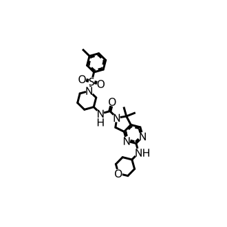 Cc1cccc(S(=O)(=O)N2CCCC(NC(=O)N3Cc4nc(NC5CCOCC5)ncc4C3(C)C)C2)c1